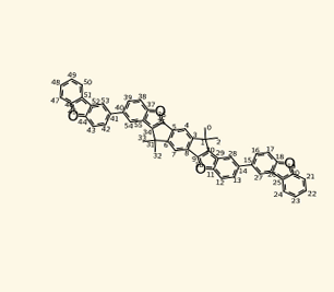 CC1(C)c2cc3c(cc2-c2oc4ccc(-c5ccc6oc7ccccc7c6c5)cc4c21)C(C)(C)c1c-3oc2ccc(-c3ccc4oc5ccccc5c4c3)cc12